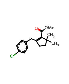 COC(=O)C1=C(Cc2ccc(Cl)cc2)CCC1(C)C